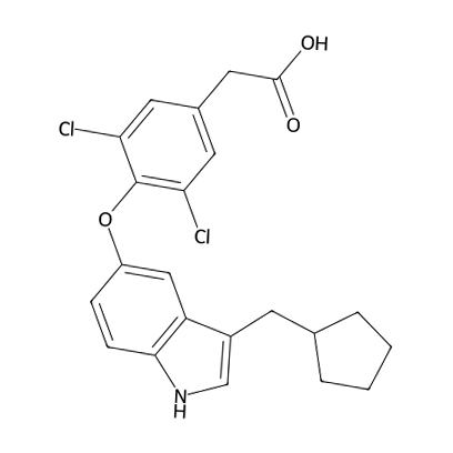 O=C(O)Cc1cc(Cl)c(Oc2ccc3[nH]cc(CC4CCCC4)c3c2)c(Cl)c1